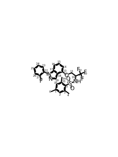 Cc1cc(C)c(S(=O)(=O)NC(COc2cccc3c2cnn3-c2ccccc2F)C(F)(F)F)c(C)c1